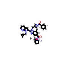 BC1(N)C2CCC1N(C(=O)c1cc(C)c3c(c1)nc(-c1cc4cccnc4n1CC1CC1)n3CC1CN(C(=O)c3ccccc3)C1)C2